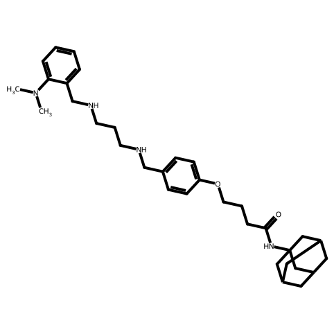 CN(C)c1ccccc1CNCCCNCc1ccc(OCCCC(=O)NC23CC4CC(CC(C4)C2)C3)cc1